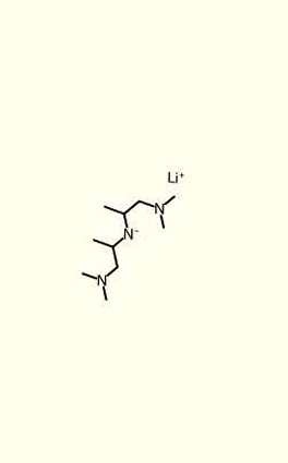 CC(CN(C)C)[N-]C(C)CN(C)C.[Li+]